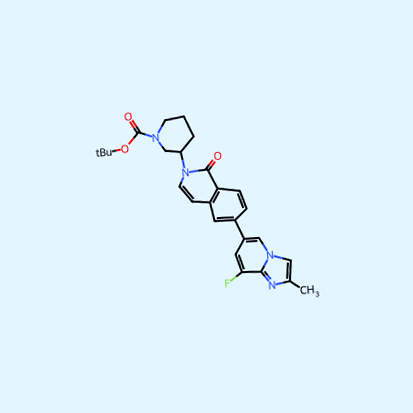 Cc1cn2cc(-c3ccc4c(=O)n(C5CCCN(C(=O)OC(C)(C)C)C5)ccc4c3)cc(F)c2n1